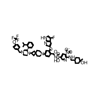 CC(C)c1ccccc1[C@@H]1CN(Cc2ccc(OC(F)(F)F)cc2)CCN1C1CC2(CCN(c3ccc(C(=O)NS(=O)(=O)c4cnc(NCC5CCC(C)(O)CC5)c([N+](=O)[O-])c4)c(Oc4cnc5[nH]cc(F)c5c4)c3)CC2)C1